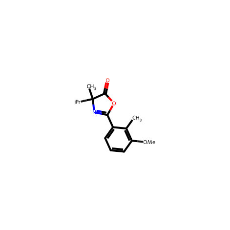 COc1cccc(C2=NC(C)(C(C)C)C(=O)O2)c1C